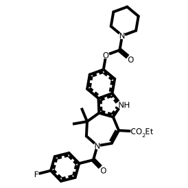 CCOC(=O)C1=CN(C(=O)c2ccc(F)cc2)CC(C)(C)c2c1[nH]c1cc(OC(=O)N3CCCCC3)ccc21